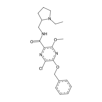 CCN1CCCC1CNC(=O)c1nc(Cl)c(OCc2ccccc2)nc1OC